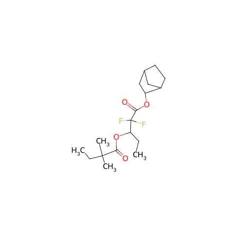 CCC(OC(=O)C(C)(C)CC)C(F)(F)C(=O)OC1CC2CCC1C2